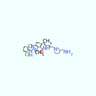 Cc1c(/C=C/CN2CCCC(CN)C2)[nH]c(=O)c2c1ccc1nc(Nc3c(Cl)cccc3Cl)n(C)c12